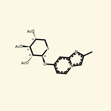 CC(=O)O[C@@H]1[C@@H](OC(C)=O)[C@H](OC(C)=O)CS[C@H]1Oc1ccn2cc(C)nc2c1